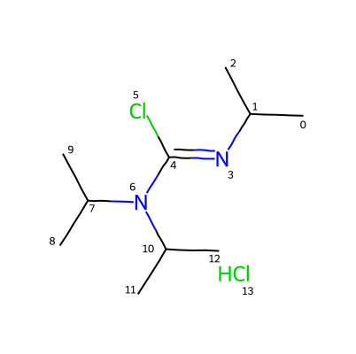 CC(C)N=C(Cl)N(C(C)C)C(C)C.Cl